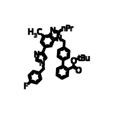 CCCc1nc2c(C)cc(-c3cn(Cc4ccc(F)cc4)cn3)cc2n1Cc1ccc(-c2ccccc2C(=O)OC(C)(C)C)cc1